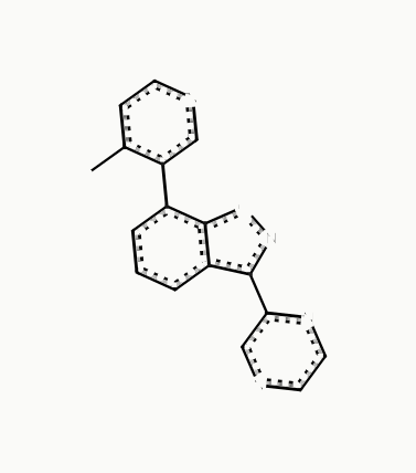 Cc1ccncc1-c1cccc2c(-c3cnccn3)noc12